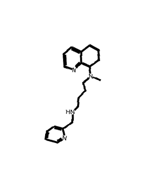 CN(CCCCNCc1ccccn1)C1CCCc2cccnc21